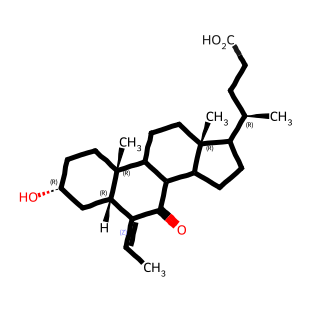 C/C=C1\C(=O)C2C3CCC([C@H](C)CCC(=O)O)[C@@]3(C)CCC2[C@@]2(C)CC[C@@H](O)C[C@@H]12